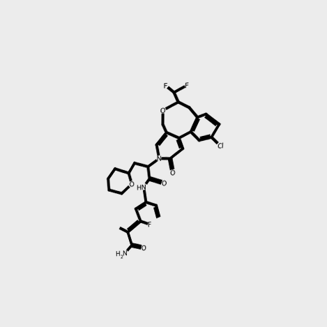 C=C/C(=C\C(F)=C(/C)C(N)=O)NC(=O)C(CC1CCCCO1)n1cc2c(cc1=O)-c1cc(Cl)ccc1CC(C(F)F)OC2